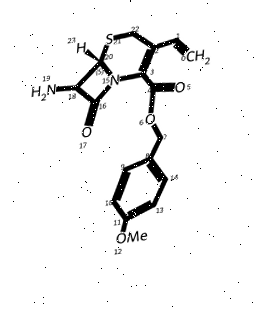 C=CC1=C(C(=O)OCc2ccc(OC)cc2)N2C(=O)C(N)[C@@H]2SC1